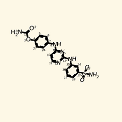 NC(=O)Oc1ccc(Nc2ccnc(Nc3cccc(S(N)(=O)=O)c3)n2)cc1